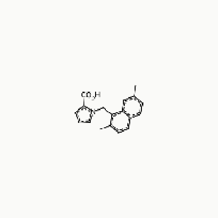 Cc1ccc2ccc(C)c(Cn3cccc3C(=O)O)c2c1